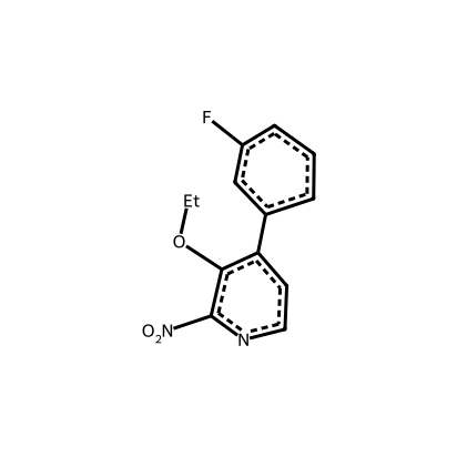 CCOc1c(-c2cccc(F)c2)ccnc1[N+](=O)[O-]